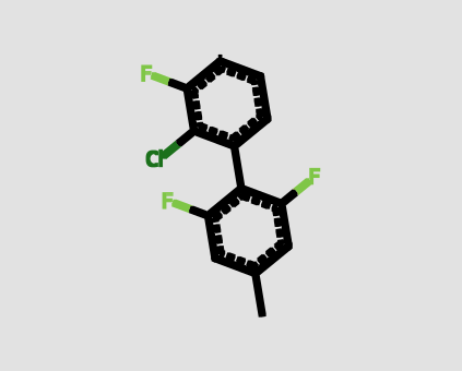 Cc1cc(F)c(-c2cc[c]c(F)c2Cl)c(F)c1